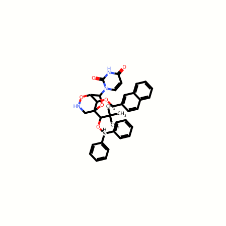 CC(C)(C)C(O[SiH](c1ccccc1)c1ccccc1)C12CNOC(C(n3ccc(=O)[nH]c3=O)O1)C2OCc1ccc2ccccc2c1